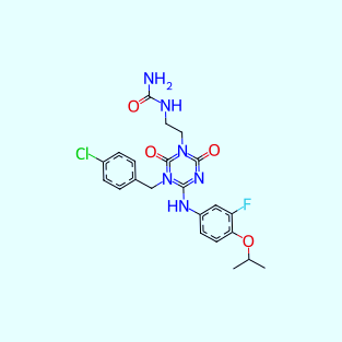 CC(C)Oc1ccc(Nc2nc(=O)n(CCNC(N)=O)c(=O)n2Cc2ccc(Cl)cc2)cc1F